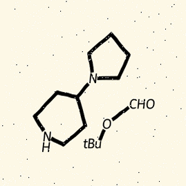 C1CCN(C2CCNCC2)C1.CC(C)(C)OC=O